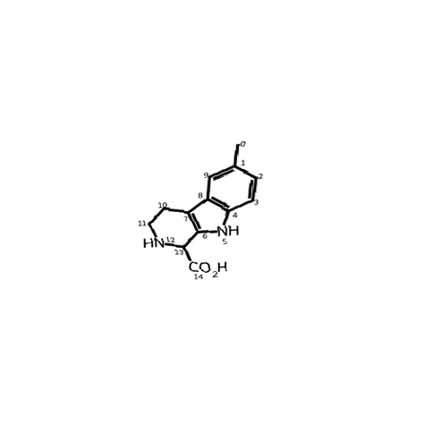 Cc1ccc2[nH]c3c(c2c1)CCNC3C(=O)O